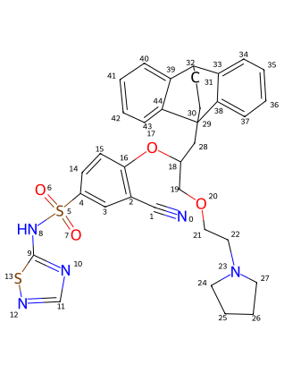 N#Cc1cc(S(=O)(=O)Nc2ncns2)ccc1OC(COCCN1CCCC1)CC12CCC(c3ccccc31)c1ccccc12